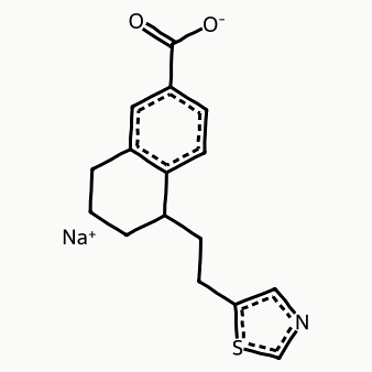 O=C([O-])c1ccc2c(c1)CCCC2CCc1cncs1.[Na+]